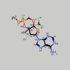 CC(C)OP1(=S)CO[C@@]2(C(F)F)O[C@@H](n3cnc4c(N)ncnc43)[C@H](F)[C@@H]2O1